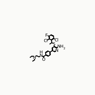 CCN(CC)CCNC(=O)c1ccc(-c2cnc(N)c(SC(C)c3c(Cl)ccc(F)c3Cl)c2)cc1